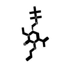 C=CCON1C(=O)N(CC)[C@H](CO[Si](C)(C)C(C)(C)C)C=C1C(=C)C